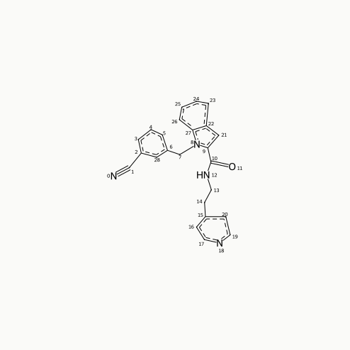 N#Cc1cccc(Cn2c(C(=O)NCCc3ccncc3)cc3ccccc32)c1